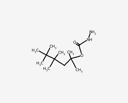 BNC(=O)OC(C)(C)CC(C)(C)C(C)(C)C